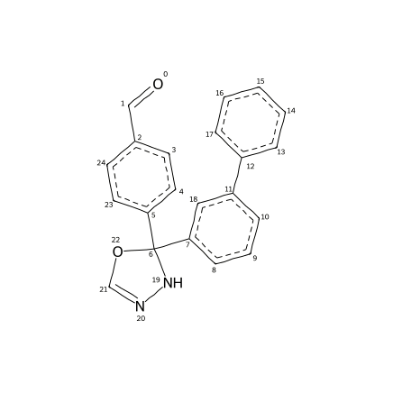 O=Cc1ccc(C2(c3cccc(-c4ccccc4)c3)NN=CO2)cc1